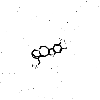 CCC1CC2CC3c4oc5cc(F)c(C)cc5c4CCN(C2)C13